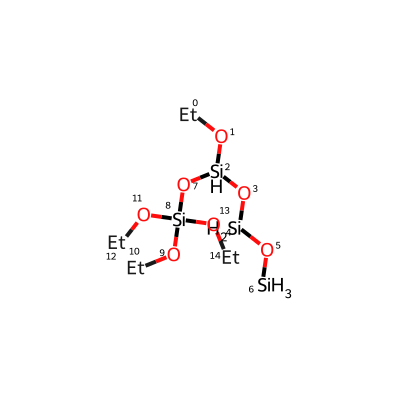 CCO[SiH](O[SiH2]O[SiH3])O[Si](OCC)(OCC)OCC